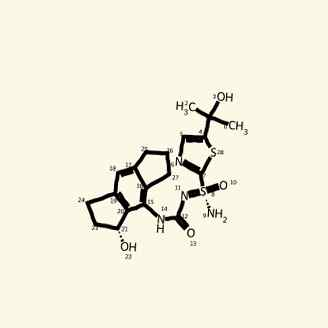 CC(C)(O)c1cnc([S@@](N)(=O)=NC(=O)Nc2c3c(cc4c2[C@H](O)CC4)CCC3)s1